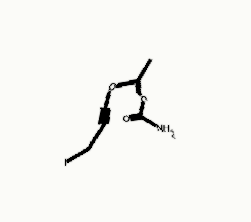 CC(OC#CCI)OC(N)=O